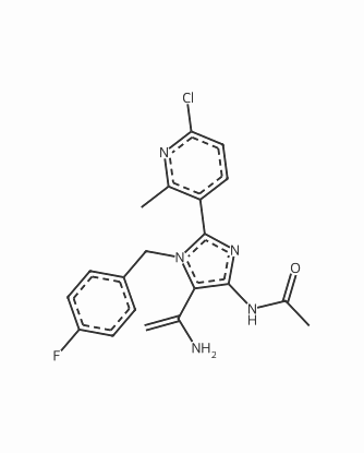 C=C(N)c1c(NC(C)=O)nc(-c2ccc(Cl)nc2C)n1Cc1ccc(F)cc1